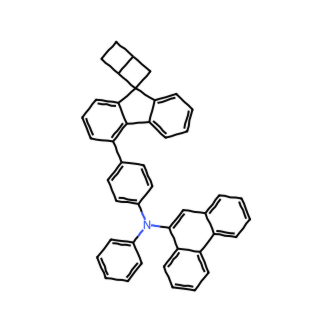 c1ccc(N(c2ccc(-c3cccc4c3-c3ccccc3C43CC4CCC43)cc2)c2cc3ccccc3c3ccccc23)cc1